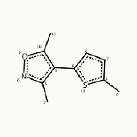 Cc1ccc(-c2c(C)noc2C)s1